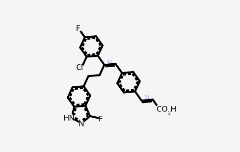 O=C(O)/C=C/c1ccc(/C=C(\CCc2ccc3[nH]nc(F)c3c2)c2ccc(F)cc2Cl)cc1